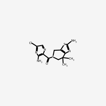 CC1(C)CN(C(=O)c2ncc(Cl)nc2N)Cc2sc(N)nc21